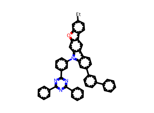 CCc1ccc2c(c1)oc1cc3c(cc12)c1ccc(-c2cccc(-c4ccccc4)c2)cc1n3-c1cccc(-c2nc(-c3ccccc3)nc(-c3ccccc3)n2)c1